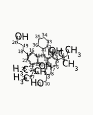 CCC(C)(C)c1cc(CCCO)cc(C(c2cc(CCCO)cc(C(C)(C)CC)c2O)C2CCCCC2)c1O